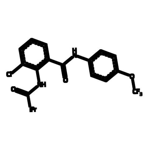 CC(C)C(=O)Nc1c(Cl)cccc1C(=O)Nc1ccc(OC(F)(F)F)cc1